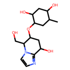 CC1CC(OC2CC(O)c3nccn3C2CO)C(O)CC1O